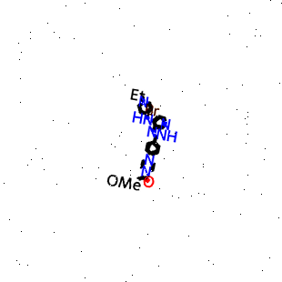 CCN1CCC(Nc2c(Br)cnc3[nH]c(-c4ccc(N5CCN(C(=O)COC)CC5)cc4)nc23)CC1